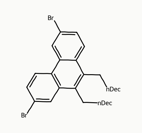 CCCCCCCCCCCc1c(CCCCCCCCCCC)c2ccc(Br)cc2c2ccc(Br)cc12